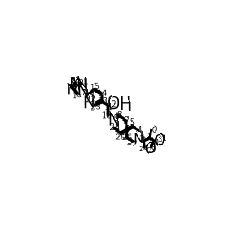 CC1=C(N2CCC3(CCN(C[C@H](O)c4ccc(-n5cnnn5)nc4)CC3)CC2)COC1=O